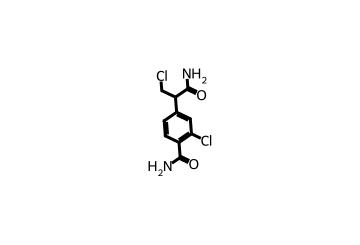 NC(=O)c1ccc(C(CCl)C(N)=O)cc1Cl